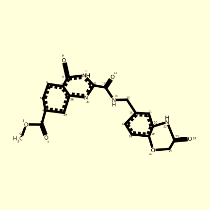 COC(=O)c1ccc2c(=O)[nH]c(C(=O)NCc3ccc4c(c3)NC(=O)CO4)nc2c1